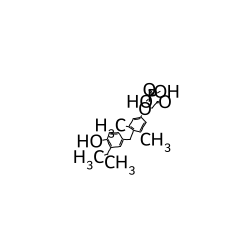 Cc1cc(OCC(=O)P(=O)(O)O)cc(C)c1Cc1ccc(O)c(C(C)C)c1